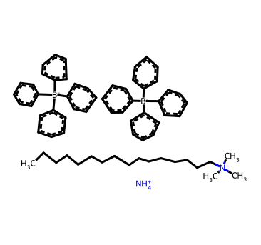 CCCCCCCCCCCCCCCC[N+](C)(C)C.[NH4+].c1ccc([B-](c2ccccc2)(c2ccccc2)c2ccccc2)cc1.c1ccc([B-](c2ccccc2)(c2ccccc2)c2ccccc2)cc1